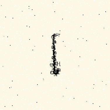 CCCOCCOCCOCCOCCOCCNC(=O)CCN1C(=O)C=CC1=O